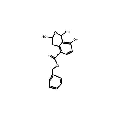 O=C(OCc1ccccc1)c1ccc(O)c2c1CC(O)OC2O